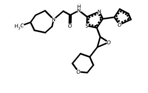 CC1CCCN(CC(=O)Nc2nc(-c3ccco3)c(C3OC3C3CCOCC3)s2)CC1